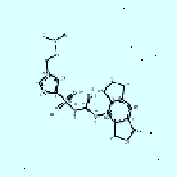 CN(C)CCn1cnc(S(=O)(=O)NC(O)Nc2c3c(cc4c2CCC4)CCC3)c1